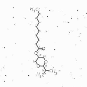 CCCCCCCCCC(=O)OC1COC(C(C)C)OC1